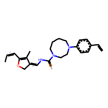 C=Cc1ccc(N2CCCCN(C(=S)N/C=C3/COC(/C=C\C)=C3C)CC2)cc1